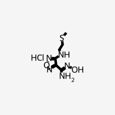 CSCCNc1nonc1C(N)=NO.Cl